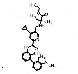 CCOC(=O)[C@@](C)(CO)NCc1cnc(C(=O)Nc2cccc(-c3cccc(NC)c3C)c2C)cc1C1CC1